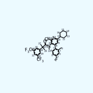 Cc1cc(F)ccc1-c1cc(C2CC[CH]CC2)nc(Cl)c1N(C)C(=O)C(C)(C)c1cc(C(F)(F)F)cc(C(F)(F)F)c1